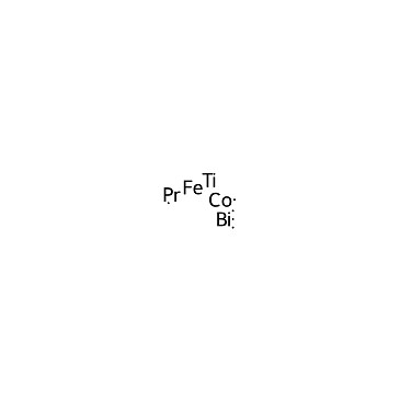 [Bi].[Co].[Fe].[Pr].[Ti]